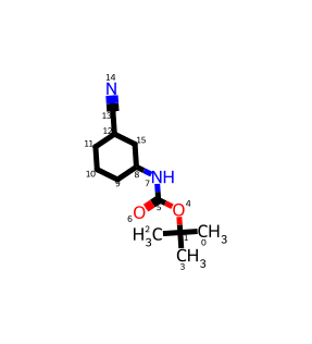 CC(C)(C)OC(=O)NC1CCCC(C#N)C1